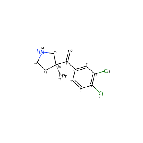 C=C(c1ccc(Cl)c(Cl)c1)[C@@]1(CCC)CCNC1